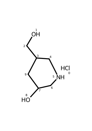 Cl.OCC1CNCC(O)C1